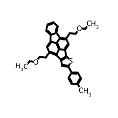 CCOCCc1cc2c3c(c(CCOCC)cc4c3c1-c1ccccc1-4)-c1cc(-c3ccc(C)cc3)sc1-2